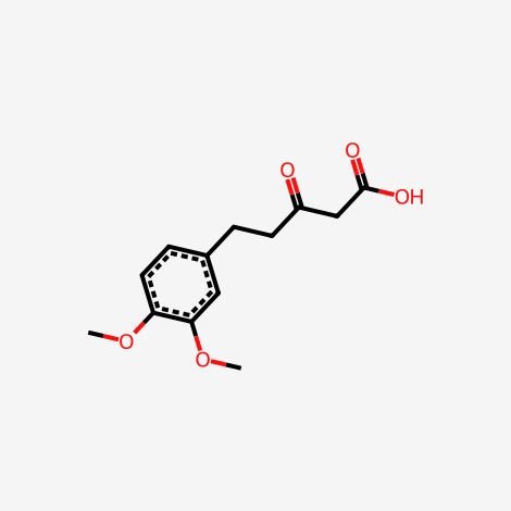 COc1ccc(CCC(=O)CC(=O)O)cc1OC